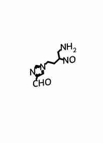 NCC(CCn1cnc(C=O)c1)N=O